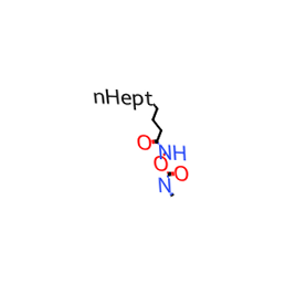 C=NC(=O)ONC(=O)CCCCCCCCCC